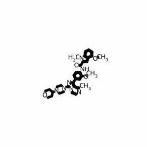 COc1cc(-c2nc(N3CCN(C4CCOCC4)CC3)n3ccnc(C)c23)ccc1NC(=O)c1cc2c(OC)cccc2n1C